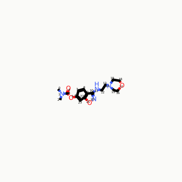 CN(C)C(=O)Oc1ccc2c(NCCN3CCOCC3)noc2c1